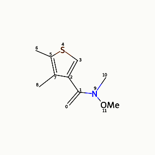 C=C(c1csc(C)c1C)N(C)OC